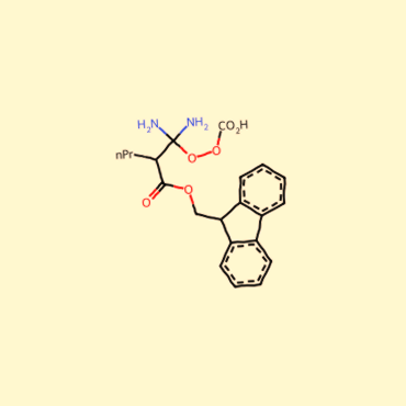 CCCC(C(=O)OCC1c2ccccc2-c2ccccc21)C(N)(N)OOC(=O)O